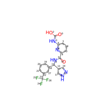 O=C(O)Nc1cccc(C(=O)NC(c2cn[nH]c2)c2cccc(C(F)(F)F)c2)n1